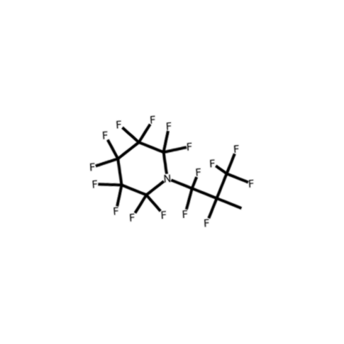 CC(F)(C(F)(F)F)C(F)(F)N1C(F)(F)C(F)(F)C(F)(F)C(F)(F)C1(F)F